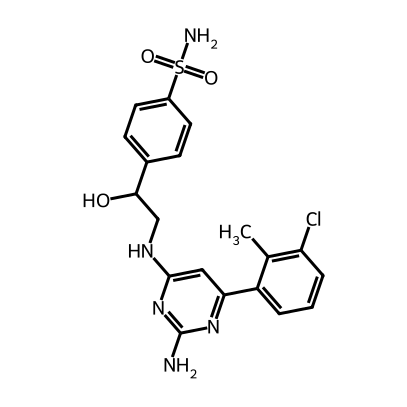 Cc1c(Cl)cccc1-c1cc(NCC(O)c2ccc(S(N)(=O)=O)cc2)nc(N)n1